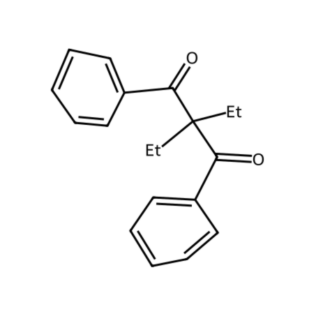 [CH2]CC(C[CH2])(C(=O)c1ccccc1)C(=O)c1ccccc1